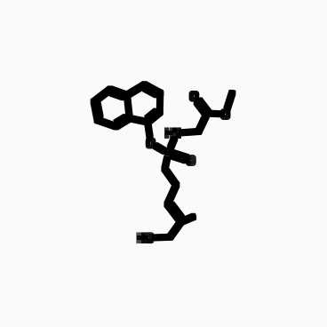 COC(=O)CNP(=O)(CC/C=C(\C)CO)Oc1cccc2ccccc12